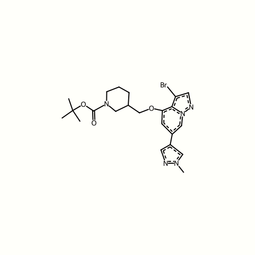 Cn1cc(-c2cc(OCC3CCCN(C(=O)OC(C)(C)C)C3)c3c(Br)cnn3c2)cn1